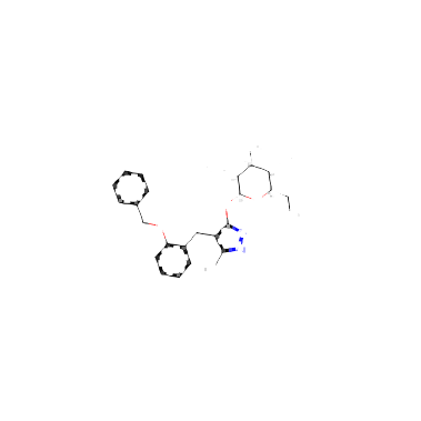 CC(=O)OC[C@H]1O[C@@H](Oc2n[nH]c(C(C)C)c2Cc2ccccc2OCc2ccccc2)[C@H](OC(C)=O)[C@@H](OC(C)=O)[C@@H]1OC(C)=O